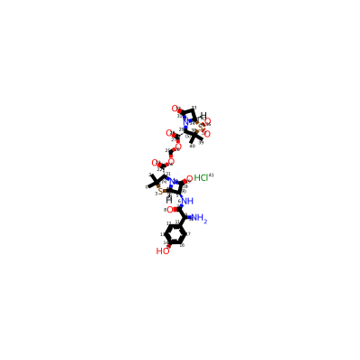 CC1(C)S[C@@H]2[C@H](NC(=O)C(N)c3ccc(O)cc3)C(=O)N2[C@H]1C(=O)OCOC(=O)[C@@H]1N2C(=O)C[C@H]2S(=O)(=O)C1(C)C.Cl